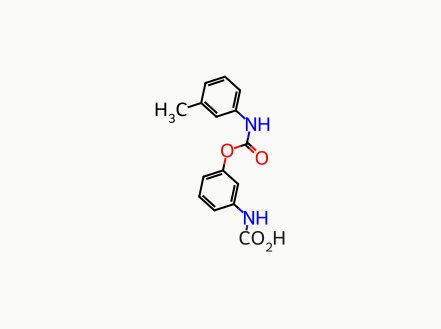 Cc1cccc(NC(=O)Oc2cccc(NC(=O)O)c2)c1